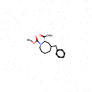 COC(=O)[C@@H]1CC(Cc2ccccc2)CCCCN1C(=O)OC(C)(C)C